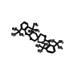 CC(C)(C)c1cccc(C(C)(C)C)c1OP1OCC2(CO1)COP(Oc1c(C(C)(C)C)cccc1C(C)(C)C)OC2